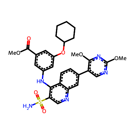 COC(=O)c1cc(Nc2c(S(N)(=O)=O)cnc3cc(-c4cnc(OC)nc4OC)ccc23)cc(OC2CCCCC2)c1